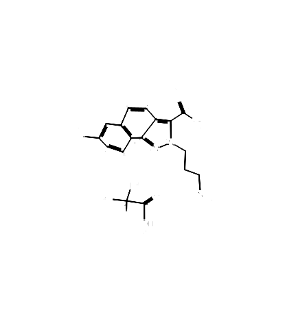 NCCCn1nc2c(ccc3cc(O)ccc32)c1C(=O)O.O=C(O)C(F)(F)F